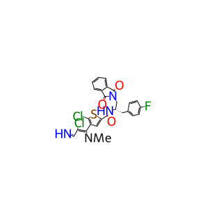 CN/C(=C(/Cl)C=N)c1cc(C(=O)N[C@@H](Cc2ccc(F)cc2)CN2C(=O)c3ccccc3C2=O)sc1Cl